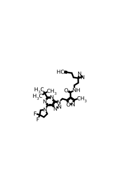 C#CCCC1(CCNC(=O)c2c(C)noc2Cn2nnc3c(N4CCC(F)(F)C4)nc(C(C)(C)C)nc32)N=N1